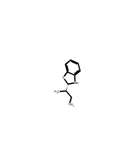 CCC(C)[C@H]1Nc2ccccc2S1